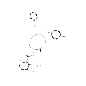 COc1ccnc(C(=O)N[C@H]2COC[C@H](OCc3ccccc3)[C@@H](Cc3ccc(F)cc3)[C@H](C)OC2=O)c1OCOC(C)=O